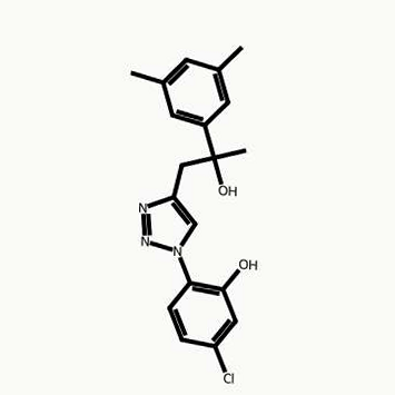 Cc1cc(C)cc(C(C)(O)Cc2cn(-c3ccc(Cl)cc3O)nn2)c1